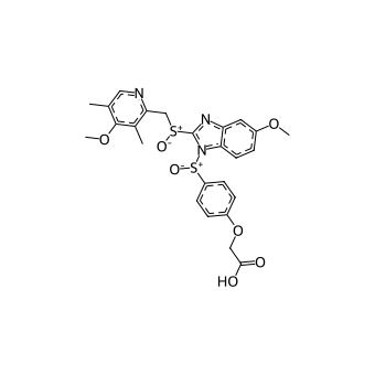 COc1ccc2c(c1)nc([S+]([O-])Cc1ncc(C)c(OC)c1C)n2[S+]([O-])c1ccc(OCC(=O)O)cc1